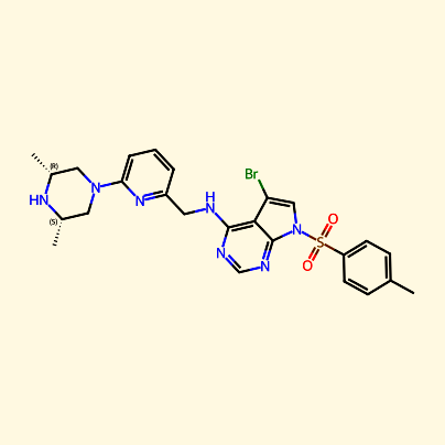 Cc1ccc(S(=O)(=O)n2cc(Br)c3c(NCc4cccc(N5C[C@@H](C)N[C@@H](C)C5)n4)ncnc32)cc1